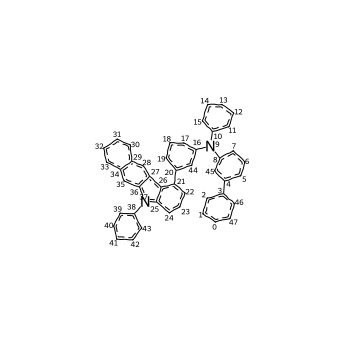 c1ccc(-c2cccc(N(c3ccccc3)c3cccc(-c4cccc5c4c4cc6ccccc6cc4n5-c4ccccc4)c3)c2)cc1